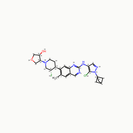 Cc1cc2cnc(Nc3cnn(C45CC(C4)C5)c3Cl)nc2cc1[C@@H]1CCN([C@H]2COC[C@H]2O)C[C@H]1F